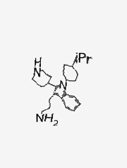 CC(C)C1CCC(n2c(C3CCNCC3)c(CCCN)c3ccccc32)CC1